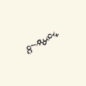 Cc1c(OCCCN2CCCC3(CCOCC3)C2)cccc1-c1cccc(-c2nc3c(s2)CN(C(=O)OC(C)(C)C)CC3)c1C